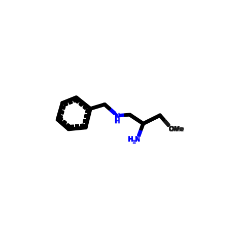 COCC(N)CNCc1ccccc1